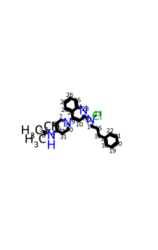 CC(C)(C)NC1CCN(c2cc(N(Cl)CCCc3ccccc3)nc3ccccc23)CC1